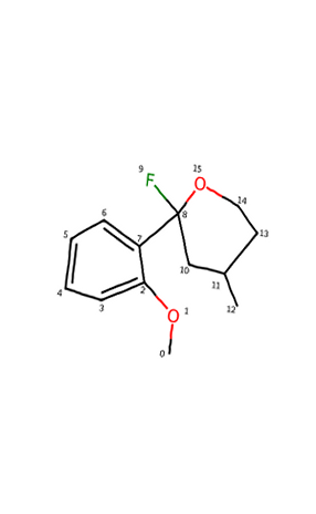 COc1ccccc1C1(F)CC(C)CCO1